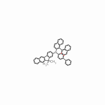 CC1(C)c2cc(N(c3ccc(-c4ccccc4)cc3)c3ccc4ccccc4c3-c3cccc4ccccc34)ccc2-c2cc3ccccc3cc21